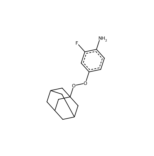 Nc1ccc(OOC23CC4CC(CC(C4)C2)C3)cc1F